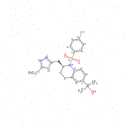 CCOC(=O)c1nnc(C[C@@H]2CCc3cc(C(O)(C(F)(F)F)C(F)(F)F)ccc3N2S(=O)(=O)c2ccc(F)cc2)o1